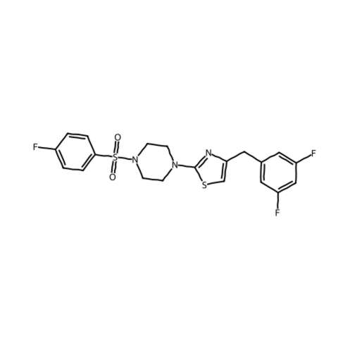 O=S(=O)(c1ccc(F)cc1)N1CCN(c2nc(Cc3cc(F)cc(F)c3)cs2)CC1